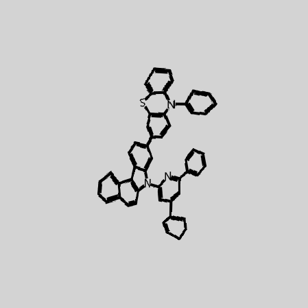 C1=CC(c2cc(-c3ccccc3)nc(-n3c4cc(-c5ccc6c(c5)Sc5ccccc5N6c5ccccc5)ccc4c4c5ccccc5ccc43)c2)=CCC1